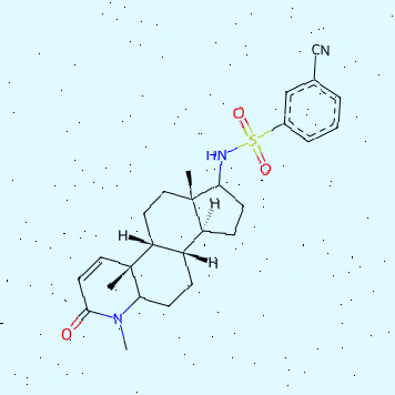 CN1C(=O)C=C[C@@]2(C)C1CC[C@@H]1[C@H]2CC[C@]2(C)C(NS(=O)(=O)c3cccc(C#N)c3)CC[C@@H]12